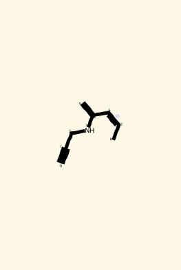 C#CCNC(=C)/C=C\C